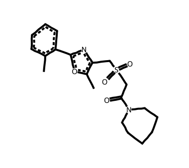 Cc1ccccc1-c1nc(CS(=O)(=O)CC(=O)N2CCCCCC2)c(C)o1